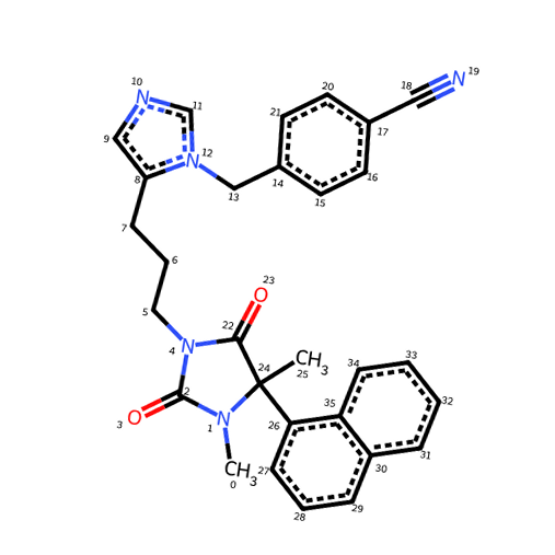 CN1C(=O)N(CCCc2cncn2Cc2ccc(C#N)cc2)C(=O)C1(C)c1cccc2ccccc12